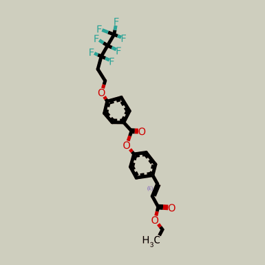 CCOC(=O)/C=C/c1ccc(OC(=O)c2ccc(OCCC(F)(F)C(F)(F)C(F)(F)F)cc2)cc1